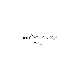 CCCCCCOC(CCCCC(=O)O)OCCCCCC